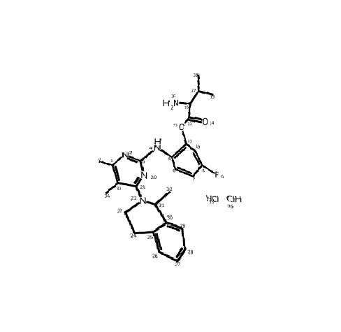 Cc1nc(Nc2ccc(F)cc2OC(=O)C(N)C(C)C)nc(N2CCc3ccccc3C2C)c1C.Cl.Cl